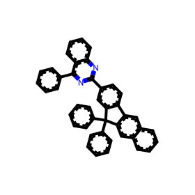 c1ccc(-c2nc(-c3ccc4c(c3)C(c3ccccc3)(c3ccccc3)c3cc5ccccc5cc3-4)nc3ccccc23)cc1